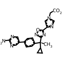 C[C@@](c1ccc(-c2cnc(N)nc2)cc1)(c1noc(-c2cn(CC(=O)O)cn2)n1)C1CC1